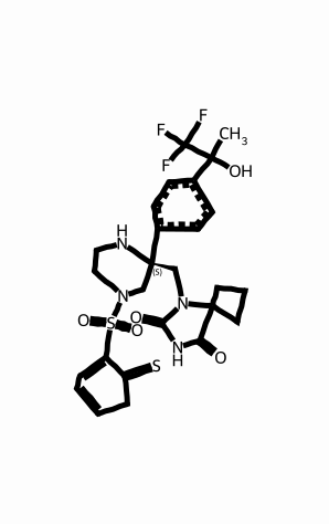 CC(O)(c1ccc([C@]2(CN3C(=O)NC(=O)C34CCC4)CN(S(=O)(=O)C3=CC=CCC3=S)CCN2)cc1)C(F)(F)F